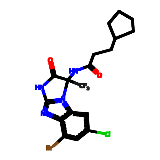 O=C(CCC1CCCC1)NC1(C(F)(F)F)C(=O)Nc2nc3c(Br)cc(Cl)cc3n21